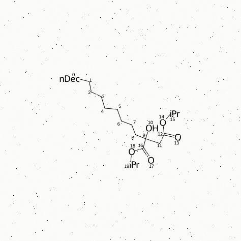 CCCCCCCCCCCCCCCCCCC(O)(CC(=O)OC(C)C)C(=O)OC(C)C